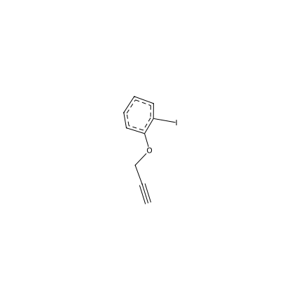 C#CCOc1ccccc1I